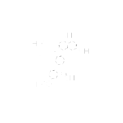 CCCC1(CCC)c2cc(-c3ccc(OC)cc3OC)ccc2-c2c1cc(O)c1ccc(C)cc21